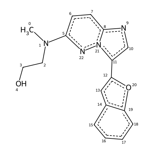 CN(CCO)c1ccc2ncc(-c3cc4ccccc4o3)n2n1